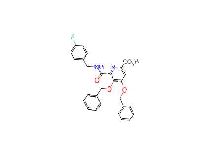 O=C(O)c1cc(OCc2ccccc2)c(OCc2ccccc2)c(C(=O)NCc2ccc(F)cc2)n1